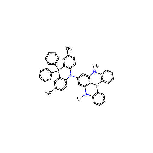 Cc1ccc2c(c1)[Si](c1ccccc1)(c1ccccc1)c1cc(C)ccc1N2c1cc2c3c(c1)N(C)c1ccccc1B3c1ccccc1N2C